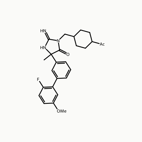 COc1ccc(F)c(-c2cccc(C3(C)NC(=N)N(CC4CCC(C(C)=O)CC4)C3=O)c2)c1